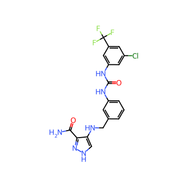 NC(=O)c1n[nH]cc1NCc1cccc(NC(=O)Nc2cc(Cl)cc(C(F)(F)F)c2)c1